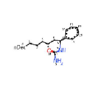 CCCCCCCCCCCCCCCC(NC(N)=O)c1ccccc1